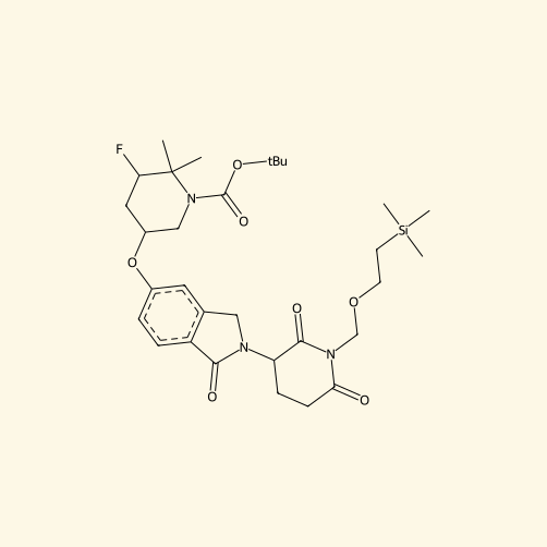 CC(C)(C)OC(=O)N1CC(Oc2ccc3c(c2)CN(C2CCC(=O)N(COCC[Si](C)(C)C)C2=O)C3=O)CC(F)C1(C)C